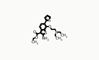 CCOC(=O)c1c(N)sc2c(OCCN(CC)CC)c(-c3cccs3)ccc12